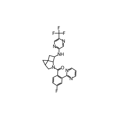 O=C(c1ccc(F)cc1-c1ncccn1)N1CC2CC23CC(Nc2cnc(C(F)(F)F)cn2)C13